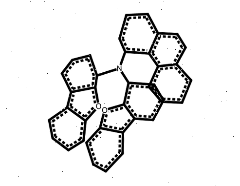 c1ccc2c(c1)ccc1cccc(N(c3cccc4c3oc3ccccc34)c3cccc4c3oc3ccccc34)c12